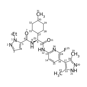 CCn1nccc1C(=O)N[C@H](C(=O)Nc1ccc(-c2c(C)n[nH]c2C)c(F)n1)C1CCC(C)CC1